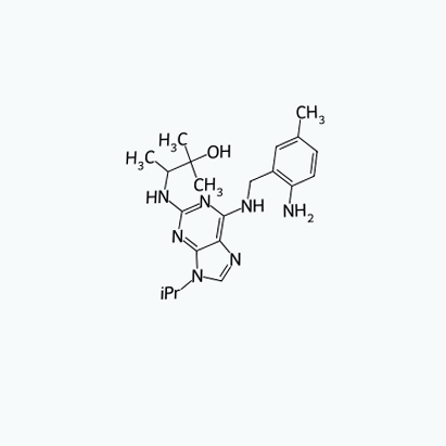 Cc1ccc(N)c(CNc2nc(NC(C)C(C)(C)O)nc3c2ncn3C(C)C)c1